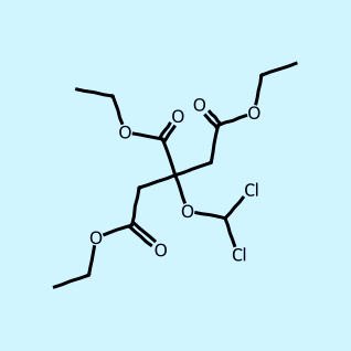 CCOC(=O)CC(CC(=O)OCC)(OC(Cl)Cl)C(=O)OCC